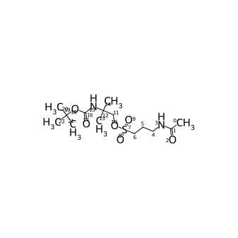 CC(=O)NCCCS(=O)(=O)OCC(C)(C)NC(=O)OC(C)(C)C